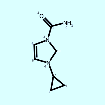 NC(=O)N1C=CN(C2CC2)C1